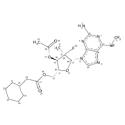 CNc1nc(N)nc2c1ncn2[C@@H]1O[C@H](COC(=O)CC2CCCCC2)[C@@H](OC(C)=O)[C@@]1(C)F